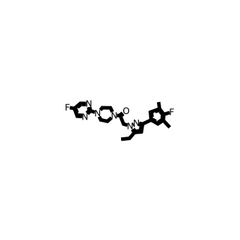 CCc1cc(-c2cc(C)c(F)c(C)c2)nn1CC(=O)N1CCN(c2ncc(F)cn2)CC1